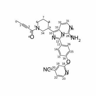 CC#CC(=O)N1CCCC(c2nc(-c3ccc(Oc4cc(C#N)ccn4)cc3)n3c(N)nccc23)C1